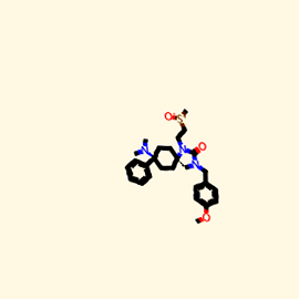 COc1ccc(CN2C[C@]3(CC[C@](c4ccccc4)(N(C)C)CC3)N(CC[S+](C)[O-])C2=O)cc1